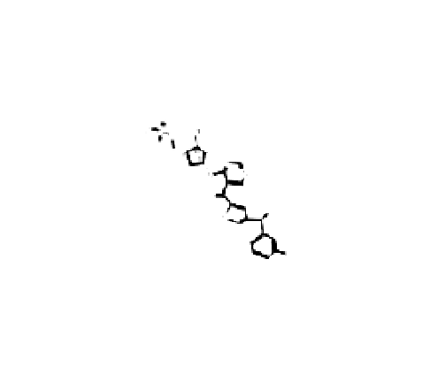 CC(c1cccc(Cl)c1)c1csc(C(=O)c2cncnc2N[C@@H]2C[C@H](COS(N)(=O)=O)[C@@H](O)C2)c1